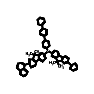 CC1(C)c2cc(-c3ccccc3)ccc2-c2ccc(N(c3ccc(-c4ccc(-c5ccccc5)cc4)cc3)c3ccc4c(c3)C(C)(C)c3cc(-c5cccc6ccccc56)ccc3-4)cc21